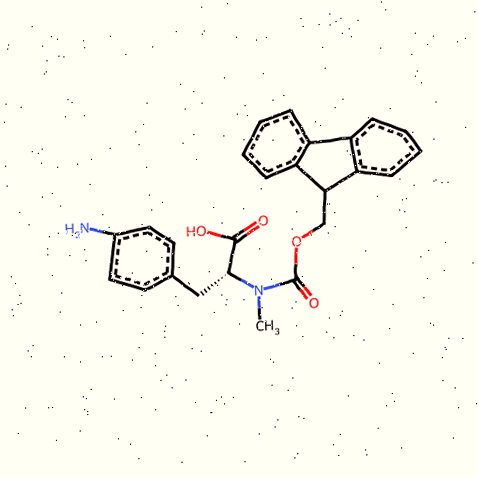 CN(C(=O)OCC1c2ccccc2-c2ccccc21)[C@H](Cc1ccc(N)cc1)C(=O)O